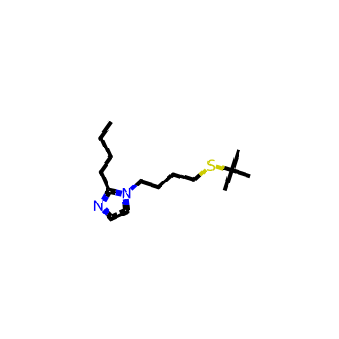 CCCCc1nccn1CCCCSC(C)(C)C